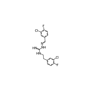 N=C(NCCc1ccc(F)c(Cl)c1)NN=Cc1ccc(F)c(Cl)c1